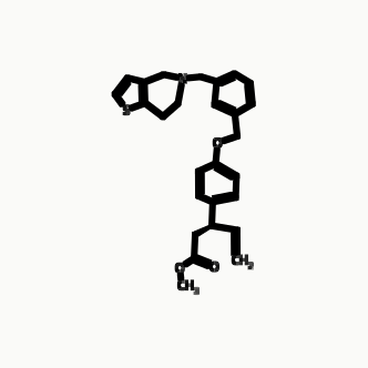 C=C[C@@H](CC(=O)OC)c1ccc(OCc2cccc(CN3CCc4sccc4C3)c2)cc1